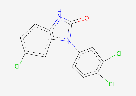 O=c1[nH]c2ccc(Cl)cc2n1-c1ccc(Cl)c(Cl)c1